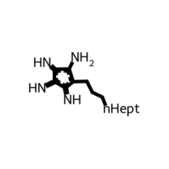 CCCCCCCCCCc1c(N)c(=N)c(=N)c1=N